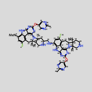 CNc1cc(F)c2c3c1[nH]c1nc(Oc4cnc(C)nc4)nc(c13)N1[C@@H](C2)[C@@H]2CNC(CNc3cc(F)c4c5c3[nH]c3nc(Oc6cnc(C)nc6)nc(c35)N3[C@H]5CNCC[C@H]5[C@@H]3C4)C[C@@H]21